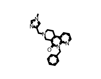 Cn1cnc(CN2CCc3c(c(=O)n(Cc4ccccc4)c4ncccc34)C2)c1